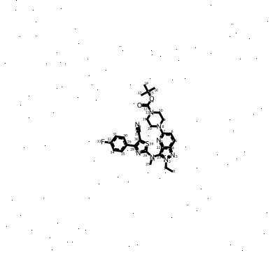 CCn1nc2ccc(N3CCN(C(=O)OC(C)(C)C)CC3)nc2c1N(C)c1nc(-c2ccc(F)cc2)c(C#N)s1